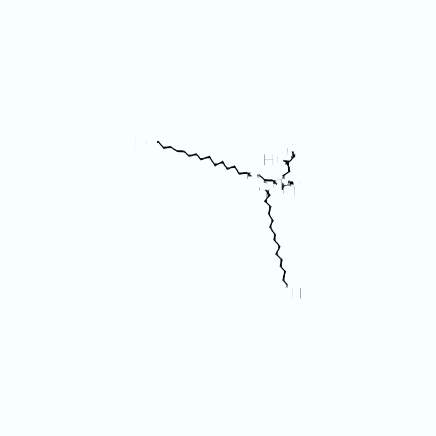 CCCCCCCCCCCCCCCCOCC(COP(C)(=O)CCC(O)CO)OCCCCCCCCCCCCCCCC